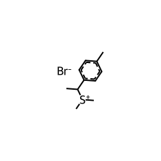 Cc1ccc(C(C)[S+](C)C)cc1.[Br-]